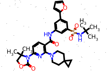 CC(C)(C)NS(=O)(=O)c1cc(NC(=O)c2ccc(N3C(=O)OCC3(C)C)nc2N2CCC3(CC2)CC3)cc(-c2ccco2)c1